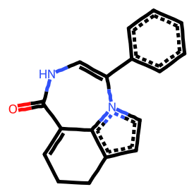 O=C1NC=C(c2ccccc2)n2ccc3c2C1=CCC3